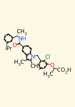 Cc1c(C)n(Cc2cccc(OC(C)C(=O)O)c2Cl)c2ccc(C(=O)N[C@@H](C)c3cccc(C(C)C)c3)cc12